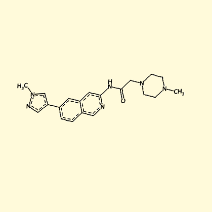 CN1CCN(CC(=O)Nc2cc3cc(-c4cnn(C)c4)ccc3cn2)CC1